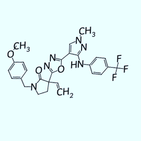 C=CC1(c2nnc(-c3cn(C)nc3Nc3ccc(C(F)(F)F)cc3)o2)CCN(Cc2ccc(OC)cc2)C1=O